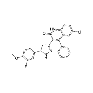 COc1ccc(C2CC(c3c(-c4ccccc4)c4cc(Cl)ccc4[nH]c3=O)=NN2)cc1F